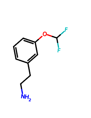 NCCc1cccc(OC(F)F)c1